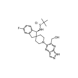 CC(C)(C)[S@@+]([O-])N[C@@H]1c2ccc(F)cc2CC12CCN(c1nc3cn[nH]c3nc1CO)CC2